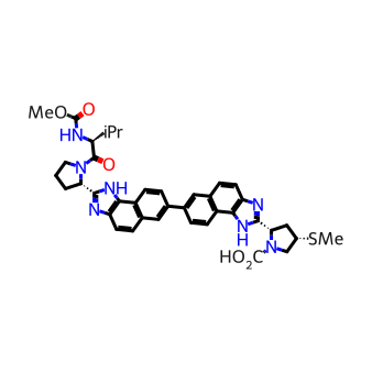 COC(=O)N[C@H](C(=O)N1CCC[C@H]1c1nc2ccc3cc(-c4ccc5c(ccc6nc([C@@H]7C[C@H](SC)CN7C(=O)O)[nH]c65)c4)ccc3c2[nH]1)C(C)C